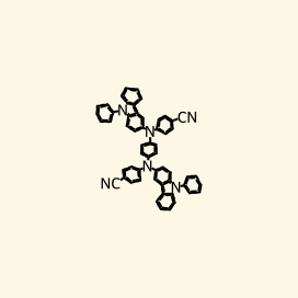 N#Cc1ccc(N(c2ccc(N(c3ccc(C#N)cc3)c3ccc4c(c3)c3ccccc3n4-c3ccccc3)cc2)c2ccc3c(c2)c2ccccc2n3-c2ccccc2)cc1